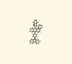 c1ccc(C2C(c3c4ccccc4c(-c4ccc(-n5c6ccccc6c6ccccc65)cc4)c4ccccc34)=Nc3ccccc32)cc1